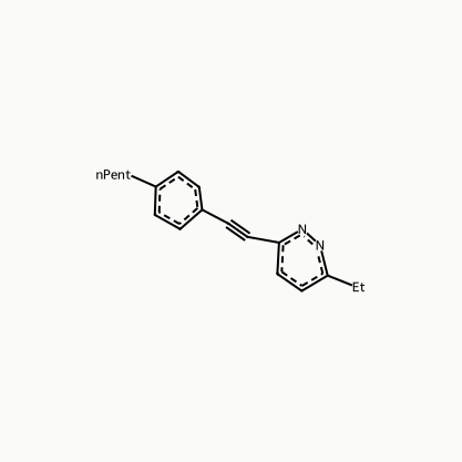 CCCCCc1ccc(C#Cc2ccc(CC)nn2)cc1